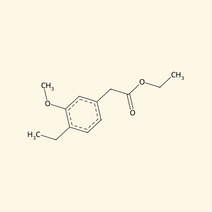 CCOC(=O)Cc1ccc(CC)c(OC)c1